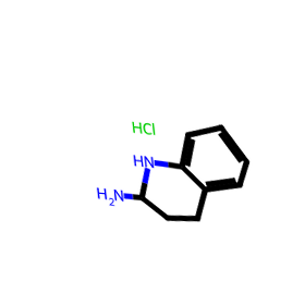 Cl.NC1CCc2ccccc2N1